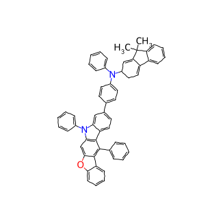 CC1(C)C2=CC(N(c3ccccc3)c3ccc(-c4ccc5c6c(-c7ccccc7)c7c(cc6n(-c6ccccc6)c5c4)oc4ccccc47)cc3)CC=C2c2ccccc21